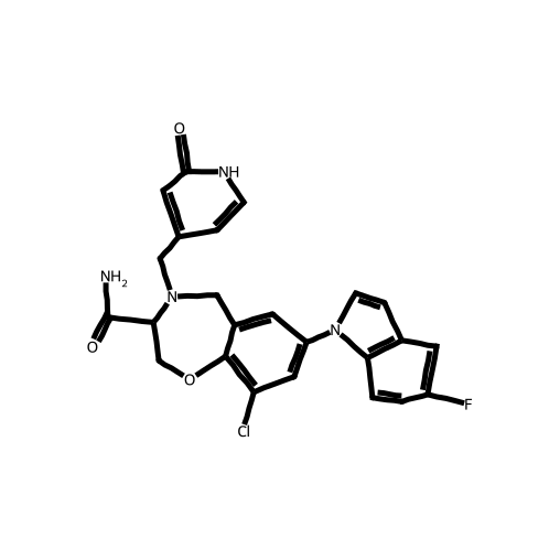 NC(=O)C1COc2c(Cl)cc(-n3ccc4cc(F)ccc43)cc2CN1Cc1cc[nH]c(=O)c1